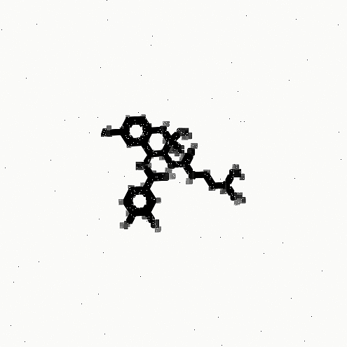 CC(=O)c1ccc2c(c1)[C@H](NC(=O)c1ccc(F)c(Cl)c1)[C@H](OC(=O)OCCN(C)C)C(C)(C)O2